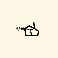 CC12CCC(CC(N)C1)N2C(=O)O